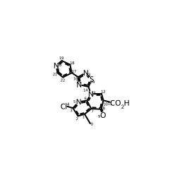 Cc1cc(Cl)nc2c1c(=O)c(C(=O)O)cn2-c1nc(-c2ccncc2)ns1